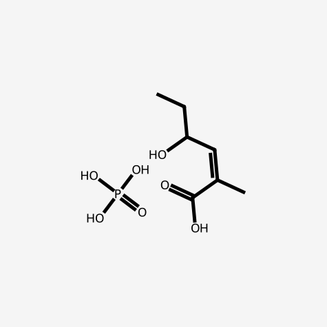 CCC(O)C=C(C)C(=O)O.O=P(O)(O)O